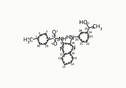 Cc1ccc(S(=O)(=O)Nc2nc3ccccc3nc2Nc2cccc(C(C)O)c2)cc1